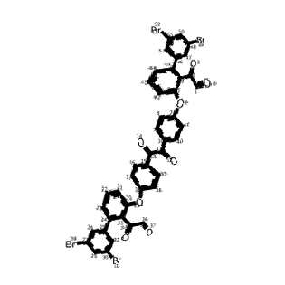 O=CC(=O)c1c(Oc2ccc(C(=O)C(=O)c3ccc(Oc4cccc(-c5cc(Br)cc(Br)c5)c4C(=O)C=O)cc3)cc2)cccc1-c1cc(Br)cc(Br)c1